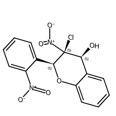 O=[N+]([O-])c1ccccc1[C@@H]1Oc2ccccc2[C@H](O)[C@@]1(Cl)[N+](=O)[O-]